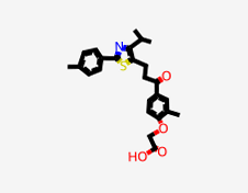 Cc1ccc(-c2nc(C(C)C)c(CCC(=O)c3ccc(OCC(=O)O)c(C)c3)s2)cc1